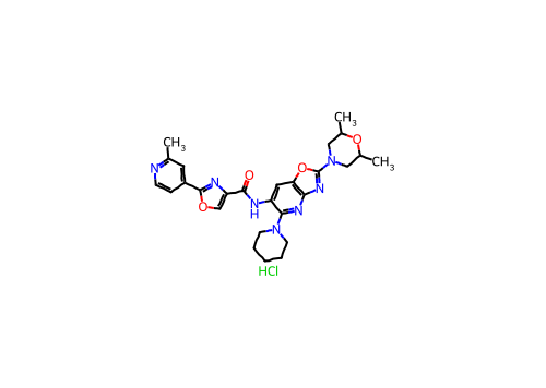 Cc1cc(-c2nc(C(=O)Nc3cc4oc(N5CC(C)OC(C)C5)nc4nc3N3CCCCC3)co2)ccn1.Cl